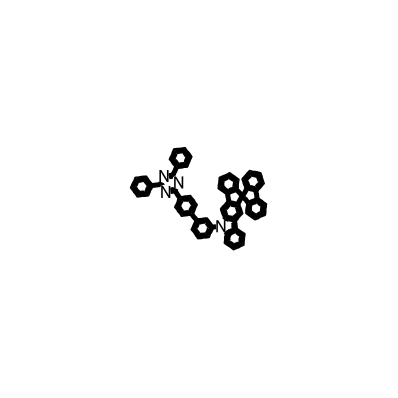 c1ccc(-c2nc(-c3ccccc3)nc(-c3ccc(-c4cccc(-n5c6ccccc6c6cc7c(cc65)-c5ccccc5C75c6ccccc6-c6ccccc65)c4)cc3)n2)cc1